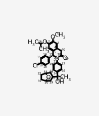 COc1cc2c(cc1OC(C)C)[C@H](c1ccc(Cl)cc1)N(c1ccc([C@](C)(O)C3CC4CCC(C3)O4)cc1)C(=O)C2